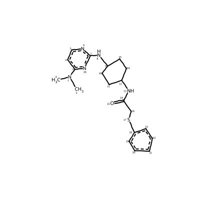 CN(C)c1ccnc(NC2CCC(NC(=O)CSc3ccccc3)CC2)n1